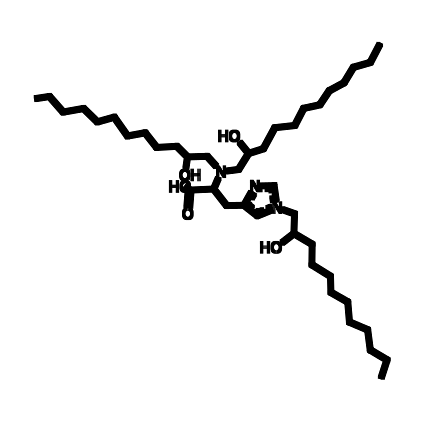 CCCCCCCCCCC(O)CN(CC(O)CCCCCCCCCC)C(Cc1cn(CC(O)CCCCCCCCCC)cn1)C(=O)O